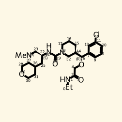 CCNC(=O)CO[C@@H](c1cccc(Cl)c1)[C@@H]1CCCN(C(=O)N[C@H](CNC)CC2CCOCC2)C1